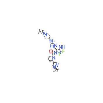 CC(=O)N1CCC(N2CC(N/C=C(/NC(=O)c3cccc(-c4cnn(C(C)C)c4)n3)C(=N)C(F)F)C2)CC1